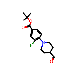 CC(C)(C)OC(=O)c1ccc(N2CCC(C=O)CC2)c(F)c1